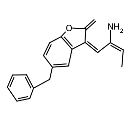 C=c1oc2ccc(Cc3ccccc3)cc2/c1=C/C(N)=C\C